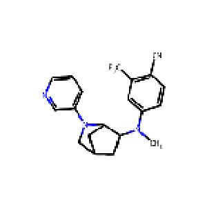 CN(c1ccc(C#N)c(C(F)(F)F)c1)C1CC2CC1N(c1cccnc1)C2